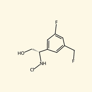 OC[C@@H](NCl)c1cc(F)cc(CF)c1